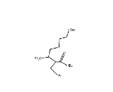 CCCCCCCCCCCCCCC(C(=O)O)C(CC(C)C)C(=O)OCC(C)C